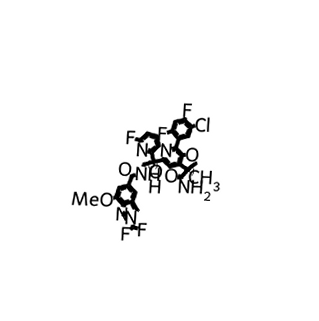 COc1cc(C(=O)NC[C@@](O)(c2cccc(F)n2)c2cc3c(c(-c4cc(Cl)c(F)cc4F)n2)OC[C@]3(C)C(N)=O)cc2cn(C(F)F)nc12